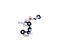 COc1ccccc1-c1c[nH]c2ncc(-c3ccc(NC(=O)OCCN4CCCC4)c(C(=O)N(C)C)c3)cc12